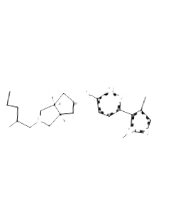 CCCC(C)CN1C[C@H]2C[C@@H](Nc3ccc(-c4c(C)cnn4C)nn3)C[C@H]2C1